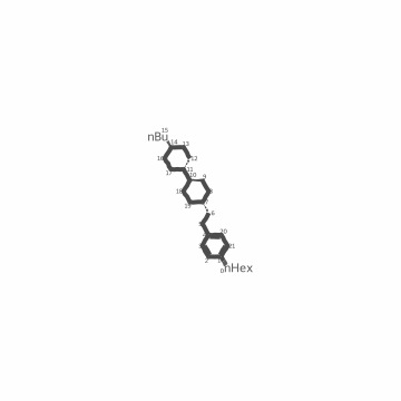 CCCCCCc1ccc(CC[C@H]2CC[C@H]([C@H]3CC[C@H](CCCC)CC3)CC2)cc1